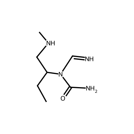 CCC(CNC)N(C=N)C(N)=O